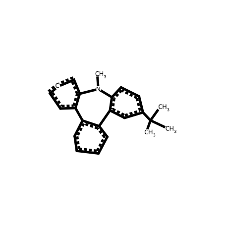 CN1c2ccccc2-c2ccccc2-c2cc(C(C)(C)C)ccc21